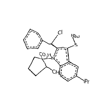 CC(C)c1ccc2c(c1)c(SC(C)(C)C)c(C(Cl)c1ccccc1)n2C1(C(=O)O)CCCC1C